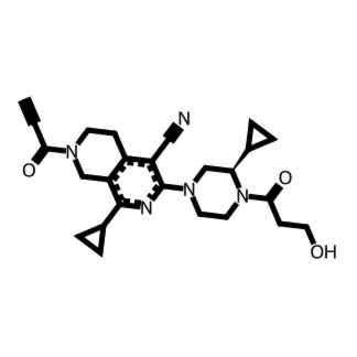 C#CC(=O)N1CCc2c(C#N)c(N3CCN(C(=O)CCO)[C@H](C4CC4)C3)nc(C3CC3)c2C1